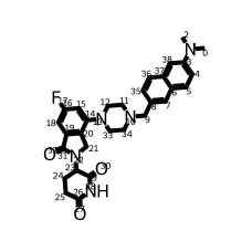 CN(C)c1ccc2cc(CN3CCN(c4cc(F)cc5c4CN(C4CCC(=O)NC4=O)C5=O)CC3)ccc2c1